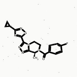 C[C@H]1c2nnc(-c3nc(C4CC4)ns3)n2CCN1C(=O)c1ccc(F)cc1